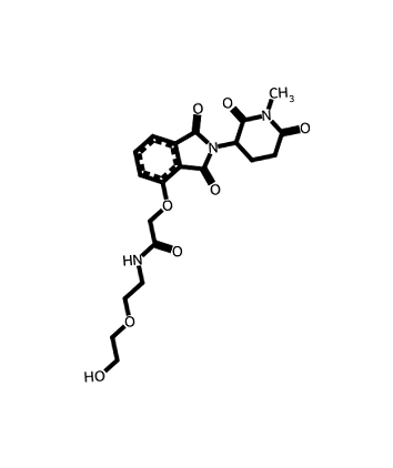 CN1C(=O)CCC(N2C(=O)c3cccc(OCC(=O)NCCOCCO)c3C2=O)C1=O